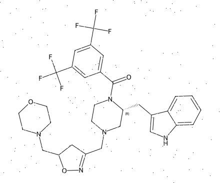 O=C(c1cc(C(F)(F)F)cc(C(F)(F)F)c1)N1CCN(CC2=NOC(CN3CCOCC3)C2)C[C@H]1Cc1c[nH]c2ccccc12